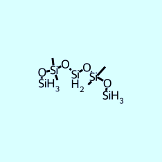 C[Si](C)(O[SiH3])O[SiH2]O[Si](C)(C)O[SiH3]